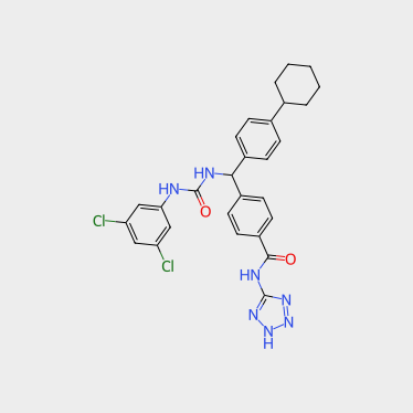 O=C(Nc1cc(Cl)cc(Cl)c1)NC(c1ccc(C(=O)Nc2nn[nH]n2)cc1)c1ccc(C2CCCCC2)cc1